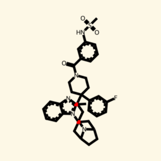 Cc1nc2ccccc2n1C1CC2CCC(C1)N2CCCC1(c2cccc(F)c2)CCN(C(=O)c2cccc(NS(C)(=O)=O)c2)CC1